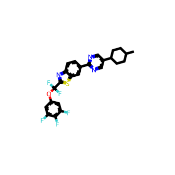 CC1CCC(c2cnc(-c3ccc4nc(C(F)(F)Oc5cc(F)c(F)c(F)c5)sc4c3)nc2)CC1